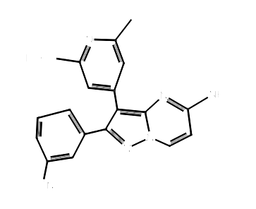 Cc1cc(-c2c(-c3cccc(C#N)c3)nn3ccc(N)nc23)cc(C(=O)O)n1